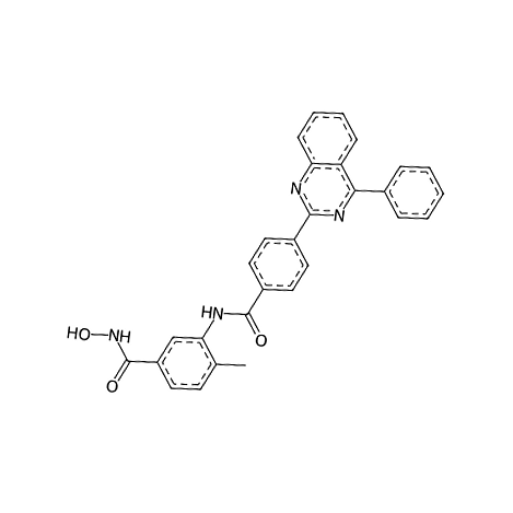 Cc1ccc(C(=O)NO)cc1NC(=O)c1ccc(-c2nc(-c3ccccc3)c3ccccc3n2)cc1